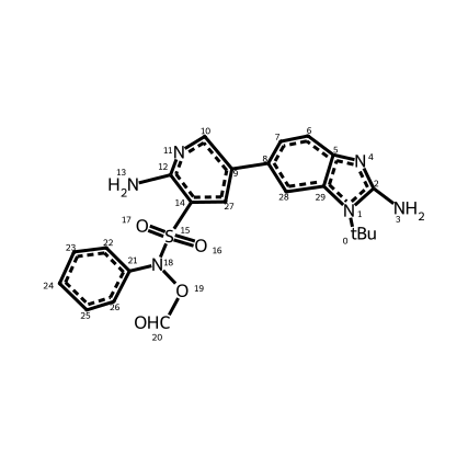 CC(C)(C)n1c(N)nc2ccc(-c3cnc(N)c(S(=O)(=O)N(OC=O)c4ccccc4)c3)cc21